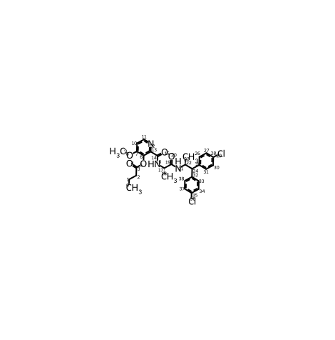 CCCC(=O)Oc1c(OC)ccnc1C(=O)N[C@@H](C)C(=O)N[C@@H](C)C(c1ccc(Cl)cc1)c1ccc(Cl)cc1